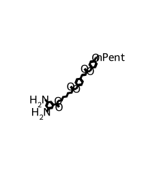 CCCCCOc1ccc(OC(=O)C=Cc2ccc(OC(=O)CCCCCOC(=O)c3cc(N)cc(N)c3)cc2)cc1